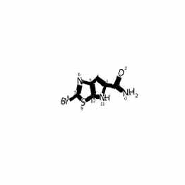 NC(=O)c1cc2nc(Br)sc2[nH]1